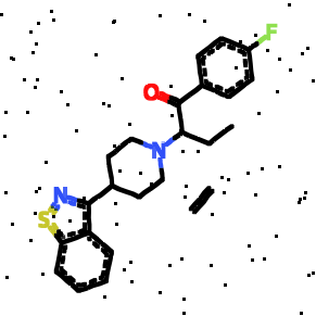 C=C.CCC(C(=O)c1ccc(F)cc1)N1CCC(c2nsc3ccccc23)CC1